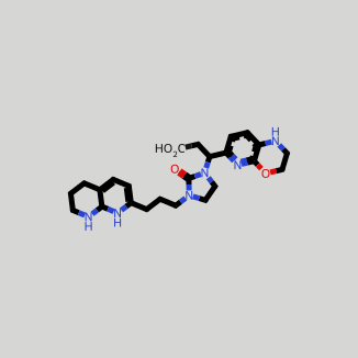 O=C(O)CC(c1ccc2c(n1)OCCN2)N1CCN(CCCC2=CC=C3CCCNC3N2)C1=O